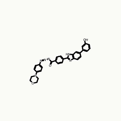 O=C(N=[N+]=Nc1ccc(N2CCOCC2)cc1)c1ccc(-c2nc3ccc(-c4cccc(O)c4)cc3[nH]2)cc1